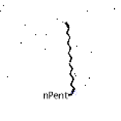 [CH]=CCCCCCCCCCCC/C=C\CCCCC